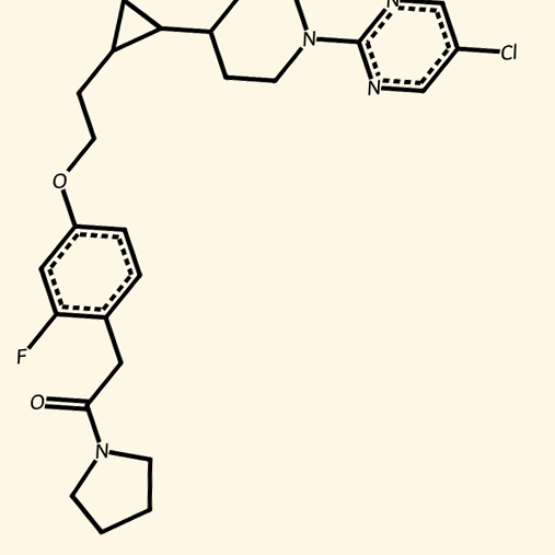 O=C(Cc1ccc(OCCC2CC2C2CCN(c3ncc(Cl)cn3)CC2)cc1F)N1CCCC1